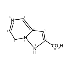 O=C(O)C1=CC2=CN=CCN2N1